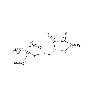 CO[Si](C)(CCCC1CC(=O)OC1=O)OC